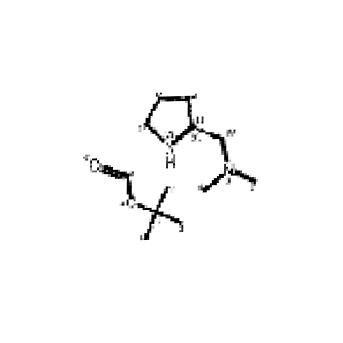 CC(C)(C)OC=O.CN(C)C[C@@H]1CCCN1